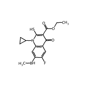 CBc1cc2c(cc1F)c(=O)c(C(=O)OCC)c(S)n2C1CC1